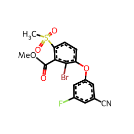 COC(=O)c1c(S(C)(=O)=O)ccc(Oc2cc(F)cc(C#N)c2)c1Br